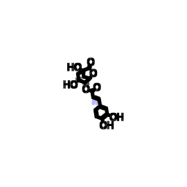 O=C(/C=C/c1ccc(O)c(O)c1)O[C@H]1C2C[C@@](O)(C[C@@H]1O)C(=O)O2